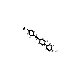 CCCc1ccc(C#CC2CCC(c3ccc(CCC)cc3)CC2)cc1